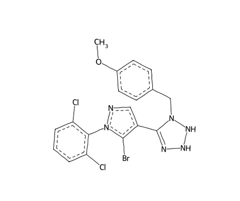 COc1ccc(CN2NNN=C2c2cnn(-c3c(Cl)cccc3Cl)c2Br)cc1